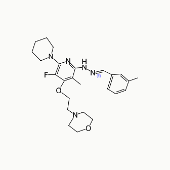 Cc1cccc(/C=N/Nc2nc(N3CCCCC3)c(F)c(OCCN3CCOCC3)c2C)c1